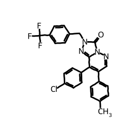 Cc1ccc(-c2cnn3c(=O)n(Cc4ccc(C(F)(F)F)cc4)nc3c2-c2ccc(Cl)cc2)cc1